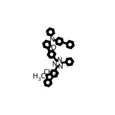 CC1(C)c2ccccc2-c2ccc(-c3nc(-c4ccccc4)nc(-c4ccc5c(c4)oc4c(N(c6ccccc6)c6ccc(-c7ccccc7)cc6)cccc45)n3)cc21